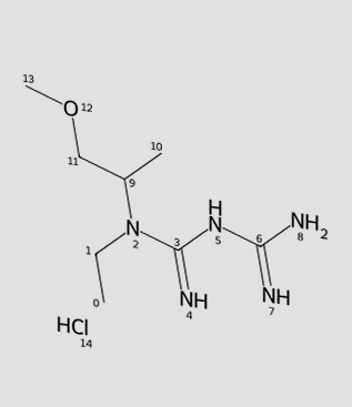 CCN(C(=N)NC(=N)N)C(C)COC.Cl